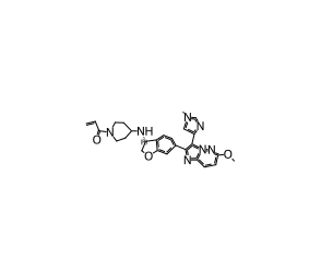 C=CC(=O)N1CCC(N[C@H]2COc3cc(-c4nc5ccc(OC)nn5c4-c4cn(C)cn4)ccc32)CC1